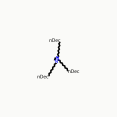 CCCCCCCCCCCCCCCCCCCn1cc[n+](CCCCCCCCCCCCCCCCCCC)c1CCCCCCCCCCCCCCCCCC